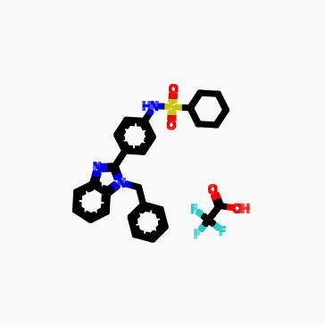 O=C(O)C(F)(F)F.O=S(=O)(Nc1ccc(-c2nc3ccccc3n2Cc2ccccc2)cc1)C1CCCCC1